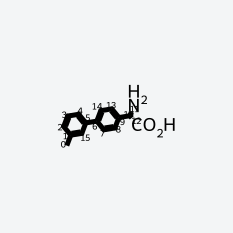 Cc1cccc(-c2ccc(C(N)C(=O)O)cc2)c1